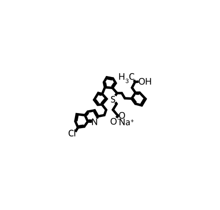 CC(O)Cc1ccccc1CCC(SCCC(=O)[O-])c1ccccc1-c1cccc(CCc2ccc3ccc(Cl)cc3n2)c1.[Na+]